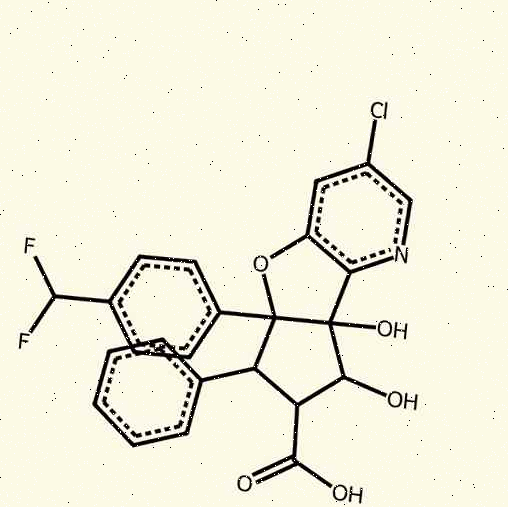 O=C(O)C1C(O)C2(O)c3ncc(Cl)cc3OC2(c2ccc(C(F)F)cc2)C1c1ccccc1